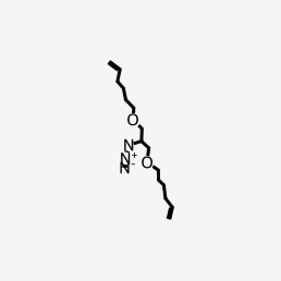 C=CCCCCOCC(COCCCCC=C)N=[N+]=[N-]